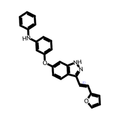 C(=C\c1n[nH]c2cc(Oc3cccc(Nc4ccccc4)c3)ccc12)/c1ccco1